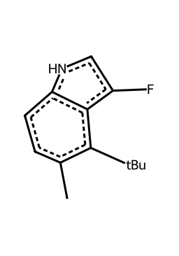 Cc1ccc2[nH]cc(F)c2c1C(C)(C)C